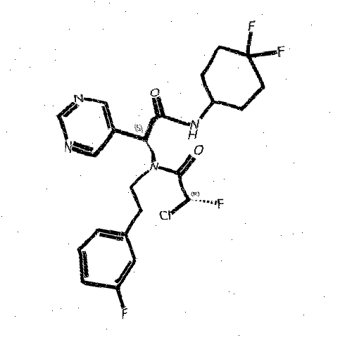 O=C(NC1CCC(F)(F)CC1)[C@H](c1cncnc1)N(CCc1cccc(F)c1)C(=O)[C@H](F)Cl